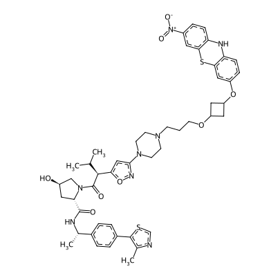 Cc1ncsc1-c1ccc([C@H](C)NC(=O)[C@@H]2C[C@@H](O)CN2C(=O)[C@H](c2cc(N3CCN(CCCOC4CC(Oc5ccc6c(c5)Sc5cc([N+](=O)[O-])ccc5N6)C4)CC3)no2)C(C)C)cc1